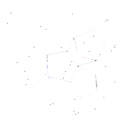 CCC1C2C3CCC(O3)C23CCCC3N1CC